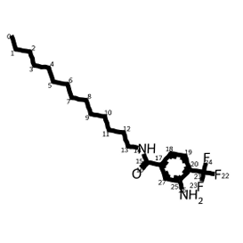 CCCCCCCCCCCCCCNC(=O)c1ccc(C(F)(F)F)c(N)c1